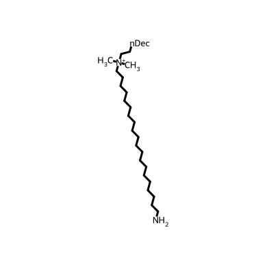 CCCCCCCCCCCC[N+](C)(C)CCCCCCCCCCCCCCCCCCCCN